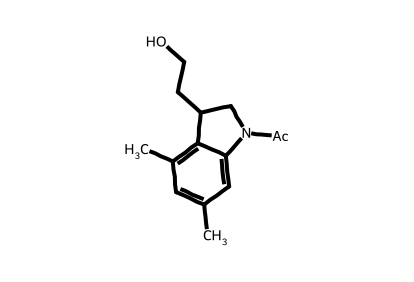 CC(=O)N1CC(CCO)c2c(C)cc(C)cc21